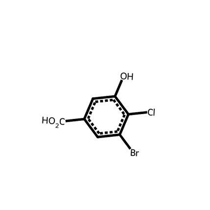 O=C(O)c1cc(O)c(Cl)c(Br)c1